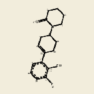 O=C1CCCCC1C1CC=C(c2cccc(F)c2F)CC1